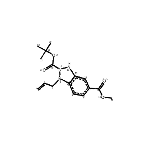 C=CCN1c2ccc(C(=O)OC)cc2NN1C(=O)OC(C)(C)C